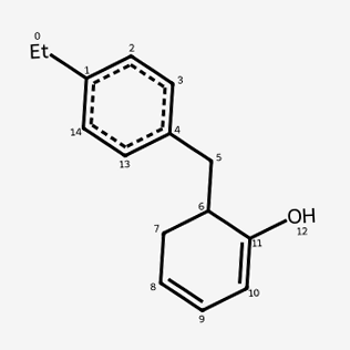 CCc1ccc(CC2CC=CC=C2O)cc1